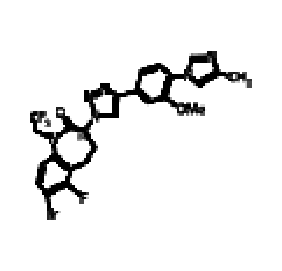 COc1cc(-c2cn([C@H]3CCc4c(ccc(Br)c4F)N(CC(F)(F)F)C3=O)nn2)ccc1-n1cnc(C)c1